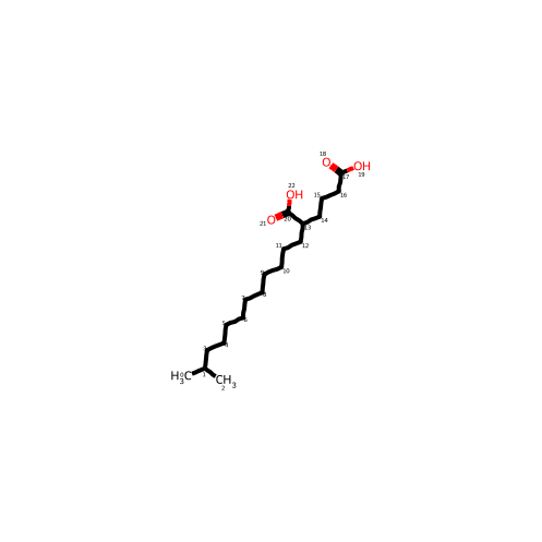 CC(C)CCCCCCCCCCC(CCCC(=O)O)C(=O)O